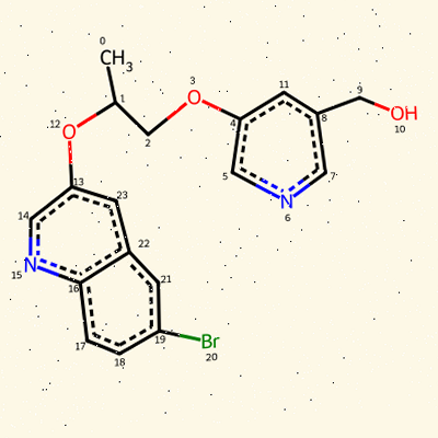 CC(COc1cncc(CO)c1)Oc1cnc2ccc(Br)cc2c1